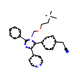 C[Si](C)(C)CCOCn1c(-c2ccccc2)nc(-c2ccncc2)c1-c1ccc(CC#N)cc1